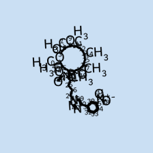 CC[C@H]1OC(=O)[C@H](C)C(=O)[C@H](C)C[C@@H](C)C[C@@H](C)C(=O)[C@H](C)[C@@H]2N(CCCCn3cc(-c4cccc([N+](=O)[O-])c4)nn3)C(=O)O[C@@]21C